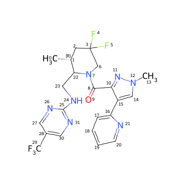 C[C@@H]1CC(F)(F)CN(C(=O)c2nn(C)cc2-c2ccccn2)C1CNc1ncc(C(F)(F)F)cn1